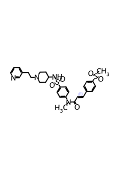 CN(C(=O)/C=C/c1ccc(S(C)(=O)=O)cc1)c1ccc(S(=O)(=O)NC2CCN(CCc3cccnc3)CC2)cc1